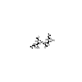 CC(=O)[C@H](CSSC[C@@H](NC(=O)[C@@H](CO)NC(=O)CN(C)C)C(C)=O)NC(=O)[C@H](CO)NC(=O)CN(C)C